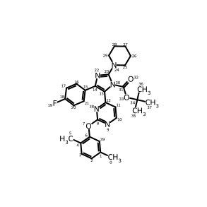 Cc1ccc(C)c(Oc2nccc(-c3c(-c4ccc(F)cc4)nc(N4CCCCC4)n3C(=O)OC(C)(C)C)n2)c1